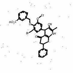 CCOc1cc(C2C(C#N)=C(C)NC3=C2C(=O)CC(c2ccccc2)C3)cc(Br)c1OCc1cccc(C(=O)O)c1